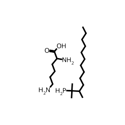 CCCCCCCCCCC(C)C(C)(C)P.NCCCCC(N)C(=O)O